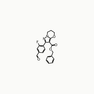 O=Cc1ccc(-c2nn3c(c2C(=O)OCc2ccccc2)OCCC3)c(F)c1